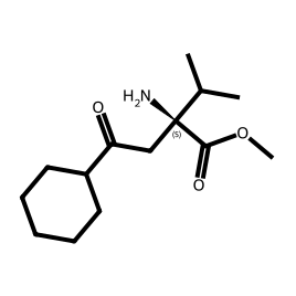 COC(=O)[C@](N)(CC(=O)C1CCCCC1)C(C)C